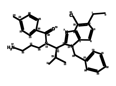 CCc1ccc2c(nc([C@@H](C(C)C)N(CCCN)C(=O)c3ccc(C)cc3)n2Cc2ccccc2)c1Cl